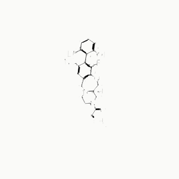 C=CC(=O)N1CCN2Cc3cc(C#N)c(-c4c(O)cccc4CC)c(F)c3OC[C@H]2C1